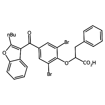 CCCCc1oc2ccccc2c1C(=O)c1cc(Br)c(OC(Cc2ccccc2)C(=O)O)c(Br)c1